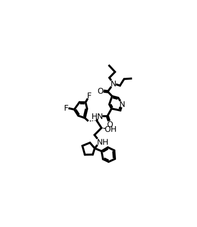 CCCN(CCC)C(=O)c1cncc(C(=O)N[C@@H](Cc2cc(F)cc(F)c2)[C@H](O)CNC2(c3ccccc3)CCCC2)c1